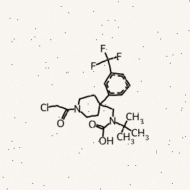 CC(C)(C)N(CC1(c2cccc(C(F)(F)F)c2)CCN(C(=O)CCl)CC1)C(=O)O